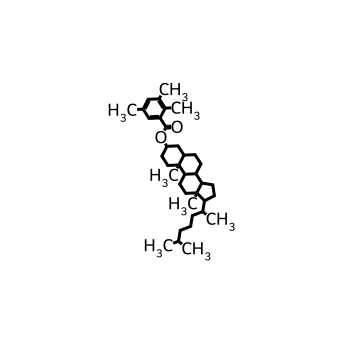 Cc1cc(C)c(C)c(C(=O)OC2CCC3(C)C(CCC4C3CCC3(C)C(C(C)CCCC(C)C)CCC43)C2)c1